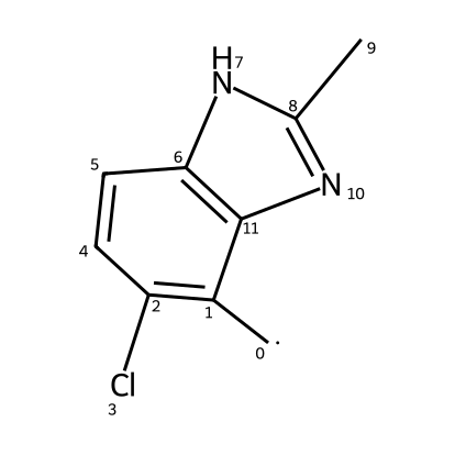 [CH2]c1c(Cl)ccc2[nH]c(C)nc12